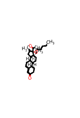 C=C1C[C@H]2[C@@H]3CCC4=CC(=O)CC[C@@H]4[C@H]3CC[C@]2(CC)[C@@]1(OCCCCC)C(C)=O